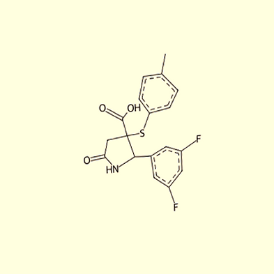 Cc1ccc(SC2(C(=O)O)CC(=O)NC2c2cc(F)cc(F)c2)cc1